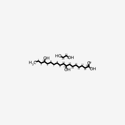 CCCC(O)CCCCCCC(O)CCCCCCC(=O)O.OCCO